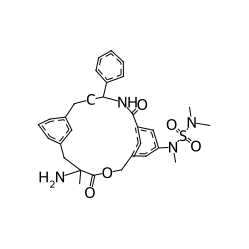 CN(C)S(=O)(=O)N(C)c1cc2cc(c1)C(=O)NC(c1ccccc1)CCc1cccc(c1)CC(C)(N)C(=O)OC2